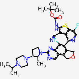 CC(C)N1CCN([C@H]2CCN(c3ncc4c5c(c(-c6ncc(F)c7sc(NC(=O)OC(C)(C)C)c(C#N)c67)c(F)c4n3)COC5)[C@H]2C)CC1